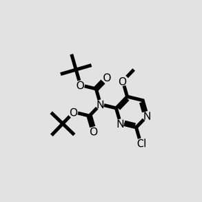 COc1cnc(Cl)nc1N(C(=O)OC(C)(C)C)C(=O)OC(C)(C)C